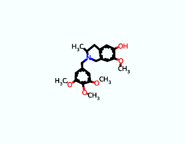 COc1cc2c(cc1O)CC(C)N(Cc1cc(OC)c(OC)c(OC)c1)C2